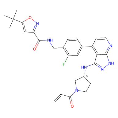 C=CC(=O)N1CC[C@@H](Nc2n[nH]c3nccc(-c4ccc(CNC(=O)c5cc(C(C)(C)C)on5)c(F)c4)c23)C1